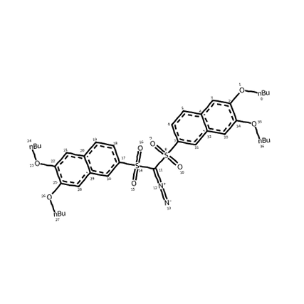 CCCCOc1cc2ccc(S(=O)(=O)C(=[N+]=[N-])S(=O)(=O)c3ccc4cc(OCCCC)c(OCCCC)cc4c3)cc2cc1OCCCC